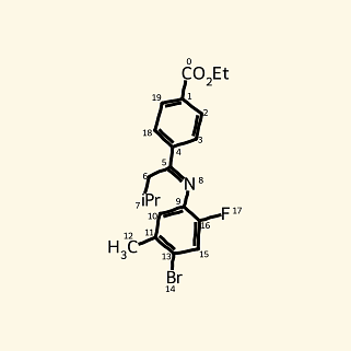 CCOC(=O)c1ccc(C(CC(C)C)=Nc2cc(C)c(Br)cc2F)cc1